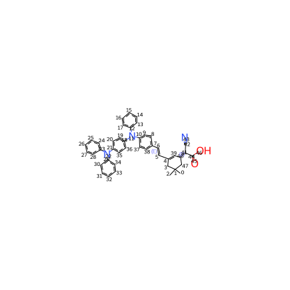 CC1(C)CC(/C=C/c2ccc(N(c3ccccc3)c3ccc(N(c4ccccc4)c4ccccc4)cc3)cc2)=CC(=C(\C#N)C(=O)O)/C1